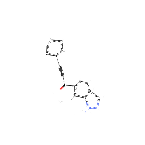 COc1c(C(=O)C#Cc2ccccc2)ccc2cnn(S(=O)(=O)O)c12